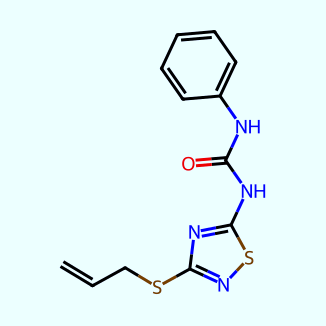 C=CCSc1nsc(NC(=O)Nc2ccccc2)n1